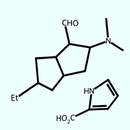 CCC1CC2CC(N(C)C)C(C=O)C2C1.O=C(O)c1ccc[nH]1